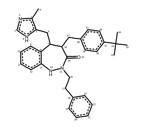 Cc1nc[nH]c1CC1c2ccccc2NN(CCc2ccccc2)C(=O)C1Cc1ccc(C(C)(C)C)cc1